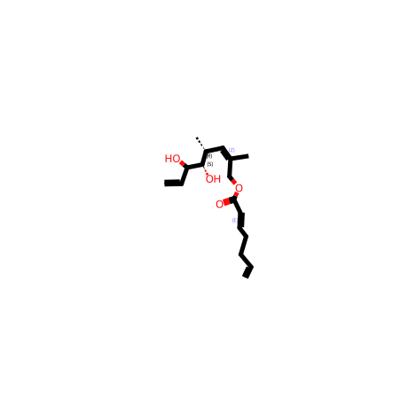 C=CCC/C=C/C(=O)OC/C(C)=C\[C@@H](C)[C@H](O)C(O)C=C